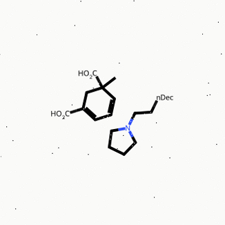 CC1(C(=O)O)C=CC=C(C(=O)O)C1.CCCCCCCCCCCCN1CCCC1